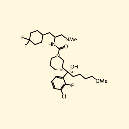 CNCC(CC1CCC(F)(F)CC1)NC(=O)N1CCC[C@@H]([C@@](O)(CCCCOC)c2cccc(Cl)c2F)C1